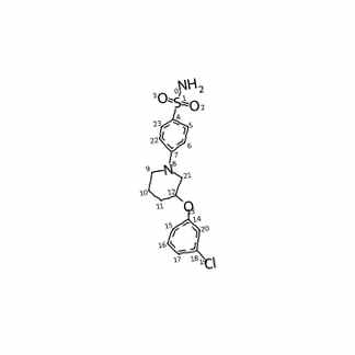 NS(=O)(=O)c1ccc(N2CCCC(Oc3cccc(Cl)c3)C2)cc1